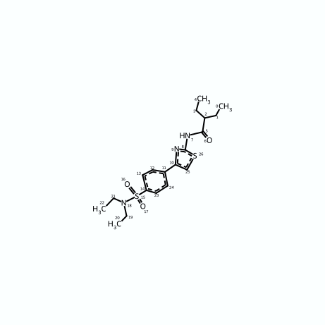 CCC(CC)C(=O)Nc1nc(-c2ccc(S(=O)(=O)N(CC)CC)cc2)cs1